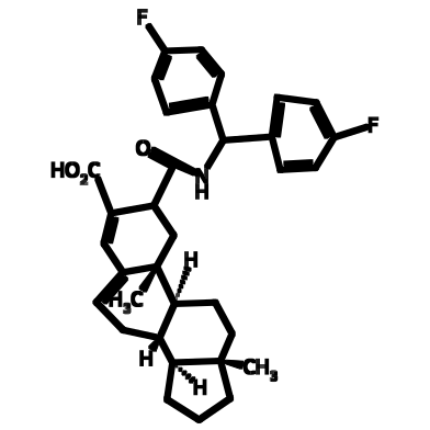 C[C@@]12CCC[C@H]1[C@@H]1CC=C3C=C(C(=O)O)C(C(=O)NC(c4ccc(F)cc4)c4ccc(F)cc4)C[C@]3(C)[C@H]1CC2